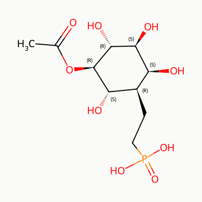 CC(=O)O[C@H]1[C@H](O)[C@@H](O)[C@@H](O)[C@@H](CCP(=O)(O)O)[C@@H]1O